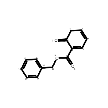 O=C1CC=CC=C1C(=O)OCc1ccccc1